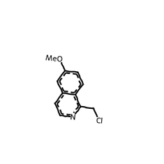 COc1ccc2c(CCl)nccc2c1